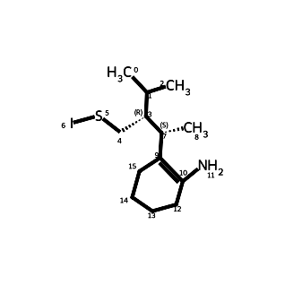 CC(C)[C@@H](CSI)[C@H](C)C1=C(N)CCCC1